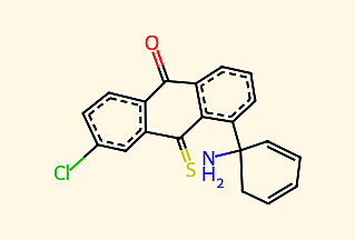 NC1(c2cccc3c2C(=S)c2cc(Cl)ccc2C3=O)C=CC=CC1